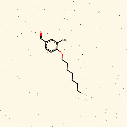 CCCCCCCCOc1ccc(C=O)cc1C